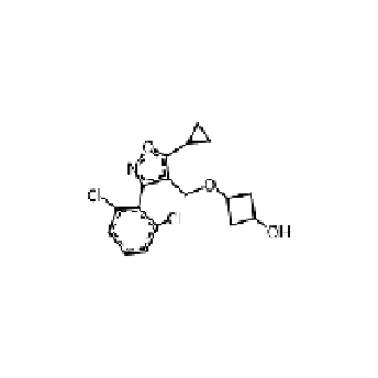 OC1CC(OCc2c(-c3c(Cl)cccc3Cl)noc2C2CC2)C1